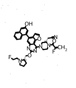 C=C(F)C(=O)N1CCN(c2nc(OC[C@@H]3CCCN3CCF)nc3cc(-c4cc(O)cc5ccccc45)c4ccoc4c23)C[C@@H]1CC#N